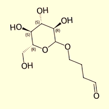 O=CCCCOC1O[C@H](CO)[C@@H](O)[C@H](O)[C@H]1O